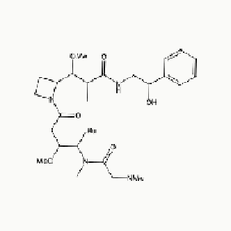 CCC(C)C(C(CC(=O)N1CCC1C(OC)C(C)C(=O)NCC(O)c1ccccc1)OC)N(C)C(=O)CNC